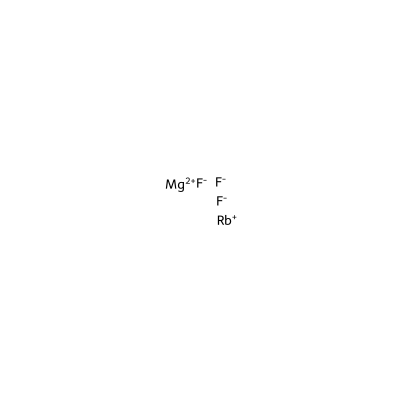 [F-].[F-].[F-].[Mg+2].[Rb+]